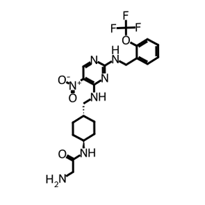 NCC(=O)N[C@H]1CC[C@H](CNc2nc(NCc3ccccc3OC(F)(F)F)ncc2[N+](=O)[O-])CC1